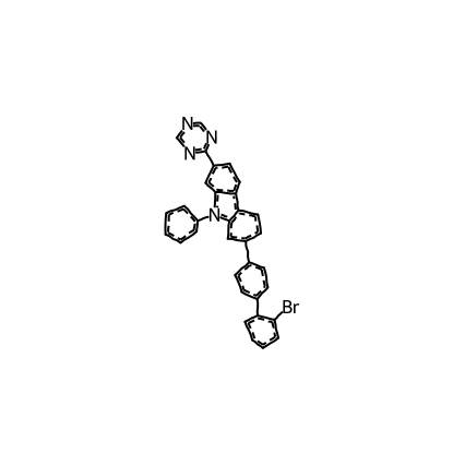 Brc1ccccc1-c1ccc(-c2ccc3c4ccc(-c5ncncn5)cc4n(-c4ccccc4)c3c2)cc1